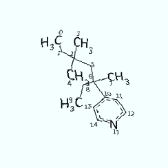 CCC(C)(C)CC(C)(CC)c1ccncc1